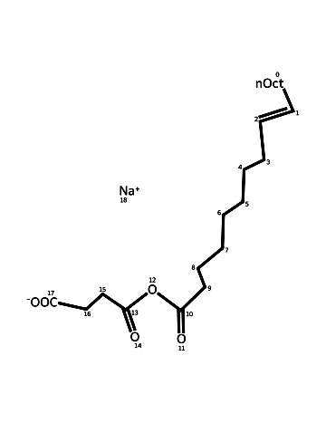 CCCCCCCCC=CCCCCCCCC(=O)OC(=O)CCC(=O)[O-].[Na+]